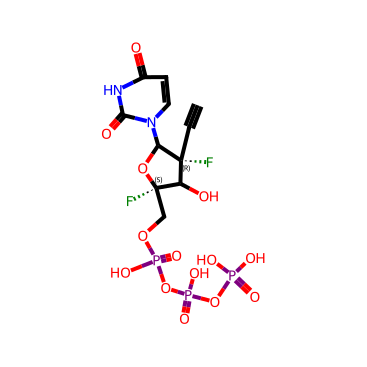 C#C[C@]1(F)C(n2ccc(=O)[nH]c2=O)O[C@](F)(COP(=O)(O)OP(=O)(O)OP(=O)(O)O)C1O